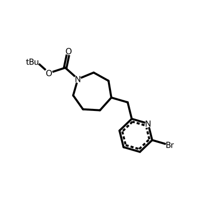 CC(C)(C)OC(=O)N1CCCC(Cc2cccc(Br)n2)CC1